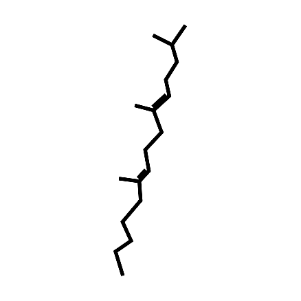 CCCCC/C(C)=C/CC/C(C)=C/CCC(C)C